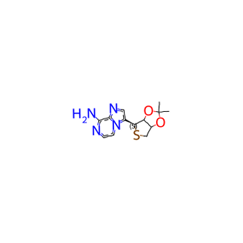 CC1(C)OC2CS[C@@H](c3cnc4c(N)nccn34)C2O1